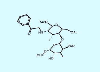 COC1OC(COC(C)=O)[C@@H](OC2O[C@@H](OC=O)[C@@H](O)C(C)[C@@H]2OC(C)=O)[C@H](C)[C@@H]1NCC(=O)c1ccccc1